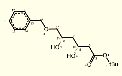 CC(C)(C)OC(=O)C[C@H](O)C[C@H](O)COCc1ccccc1